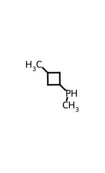 CPC1CC(C)C1